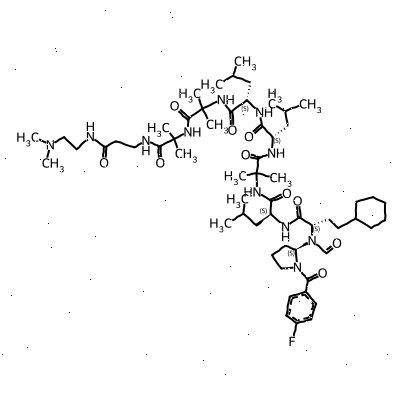 CC(C)C[C@H](NC(=O)[C@H](CC(C)C)NC(=O)C(C)(C)NC(=O)[C@H](CC(C)C)NC(=O)[C@H](CCC1CCCCC1)N(C=O)[C@@H]1CCCN1C(=O)c1ccc(F)cc1)C(=O)NC(C)(C)C(=O)NC(C)(C)C(=O)NCCC(=O)NCCN(C)C